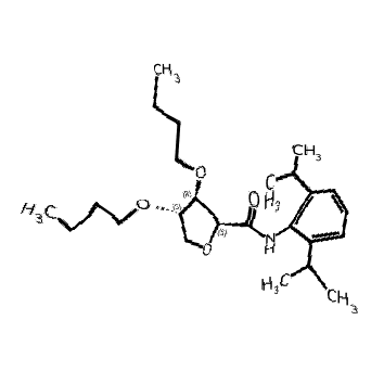 CCCCO[C@@H]1[C@@H](OCCCC)CO[C@@H]1C(=O)Nc1c(C(C)C)cccc1C(C)C